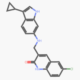 O=c1[nH]c2ccc(Cl)cc2cc1CNc1ccc2c(C3CC3)c[nH]c2c1